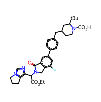 CCOC(=O)C(c1ncn2c1CCC2)N1Cc2c(F)cc(-c3ccc(CC4CCN(C(=O)O)C(C(C)(C)C)C4)cc3)cc2C1=O